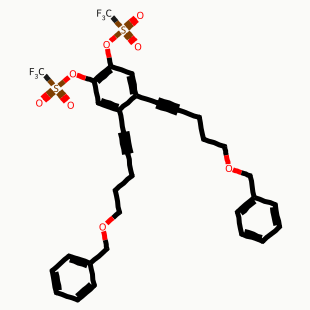 O=S(=O)(Oc1cc(C#CCCCOCc2ccccc2)c(C#CCCCOCc2ccccc2)cc1OS(=O)(=O)C(F)(F)F)C(F)(F)F